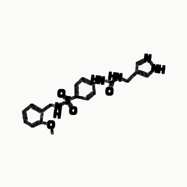 COc1ccccc1CNS(=O)(=O)c1ccc(NC(=O)NCc2cn[nH]c2)cc1